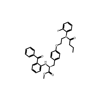 CCCC(=O)N(CCOc1ccc(C[C@H](Nc2ccccc2C(=O)c2ccccc2)C(=O)OC)cc1)c1ccccc1F